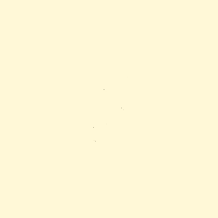 Cc1cnc(-c2[c]c[nH]n2)cn1